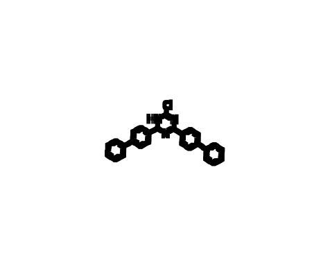 ClC1=NC(c2ccc(-c3ccccc3)cc2)=NC(c2ccc(-c3ccccc3)cc2)N1